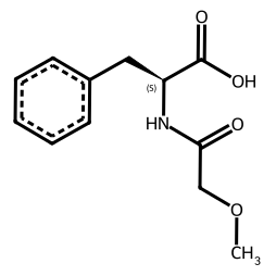 COCC(=O)N[C@@H](Cc1ccccc1)C(=O)O